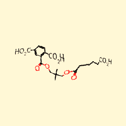 CC(C)(COC(=O)CCCCC(=O)O)COC(=O)c1cc(C(=O)O)ccc1C(=O)O